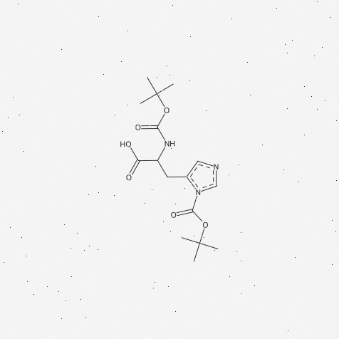 CC(C)(C)OC(=O)NC(Cc1cncn1C(=O)OC(C)(C)C)C(=O)O